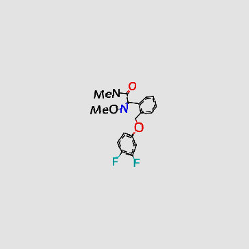 CNC(=O)C(=NOC)c1ccccc1COc1ccc(F)c(F)c1